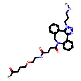 CC(C)NCCCn1nnc2c1-c1ccccc1CN(C(=O)CCC(=O)NCCOCCCC(=O)C(C)C)c1ccccc1-2